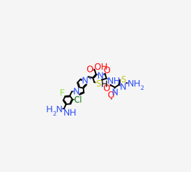 CO/N=C(\C(=O)N[C@@H]1C(=O)N2C(C(=O)O)=C(C[n+]3ccc4c(ccn4Cc4c(F)cc(C(=N)N)cc4Cl)c3)CS[C@H]12)c1csc(N)n1